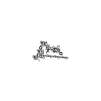 CCOCCOCCOCCOCCOCCOCCC(=O)NC(C(=O)NC(CCCNC(N)=O)C(=O)Nc1ccc(COC(=O)N(C)[C@H](C(=O)NCC(=O)N(C)[C@@H]([C@@H](C)CC)[C@@H](CC(=O)N2CCC[C@H]2[C@H](OC)[C@@H](C)C(=O)N[C@H](C)C(O)c2ccccc2)OC)C(C)C)cc1)C(C)C